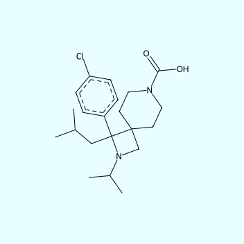 CC(C)CC1(c2ccc(Cl)cc2)N(C(C)C)CC12CCN(C(=O)O)CC2